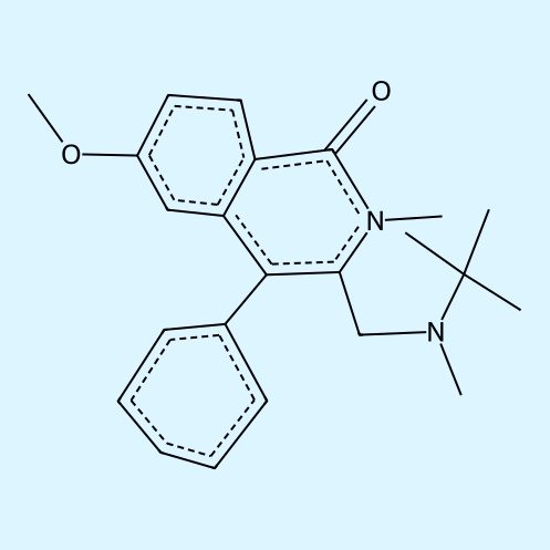 COc1ccc2c(=O)n(C)c(CN(C)C(C)(C)C)c(-c3ccccc3)c2c1